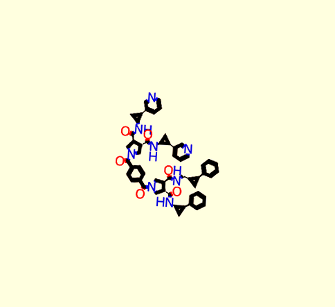 O=C(NC[C@H]1C[C@@H]1c1ccccc1)[C@@H]1CN(C(=O)c2ccc(C(=O)N3C[C@@H](C(=O)NC4C[C@@H]4c4cccnc4)[C@H](C(=O)N[C@H]4C[C@@H]4c4cccnc4)C3)cc2)C[C@H]1C(=O)N[C@H]1C[C@@H]1c1ccccc1